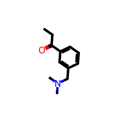 CCC(=O)c1cccc(CN(C)C)c1